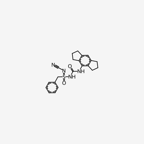 N#CN=S(=O)(Cc1ccccc1)NC(=O)Nc1c2c(cc3c1CCC3)CCC2